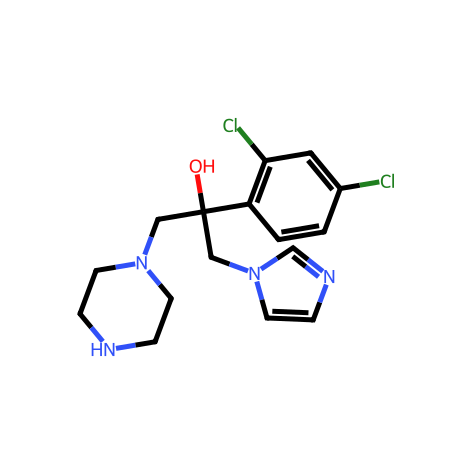 OC(CN1CCNCC1)(Cn1ccnc1)c1ccc(Cl)cc1Cl